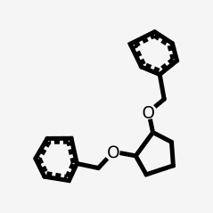 c1ccc(COC2CCCC2OCc2ccccc2)cc1